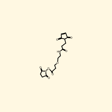 O=C(CCC1C(=O)C=CC1=O)NCCOCCC(=O)ON1C(=O)CCC1=O